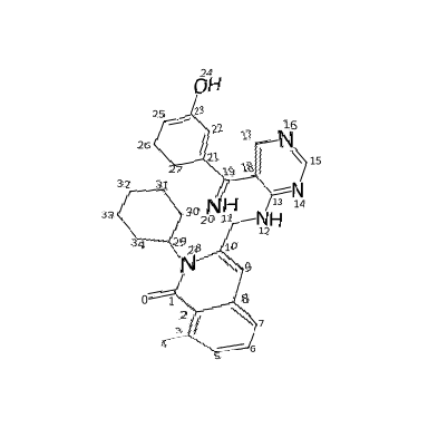 C=C1c2c(C)cccc2C=C(CNc2ncncc2C(=N)C2=CC(O)=CCC2)N1C1CCCCC1